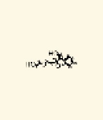 O=C(OCCOCCO)C(=CO)c1ccccc1